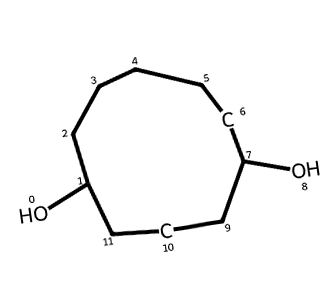 OC1CCCCCC(O)CCC1